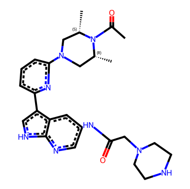 CC(=O)N1[C@H](C)CN(c2cccc(-c3c[nH]c4ncc(NC(=O)CN5CCNCC5)cc34)n2)C[C@@H]1C